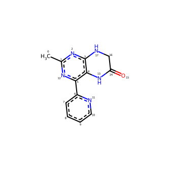 Cc1nc2c(c(-c3ccccn3)n1)NC(=O)CN2